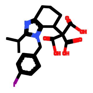 CC(C)c1nc2c(n1Cc1ccc(I)cc1)C(C(C(=O)O)(C(=O)O)C(=O)O)CCC2